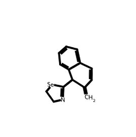 C=C1C=Cc2ccccc2C1C1=NCC[Se]1